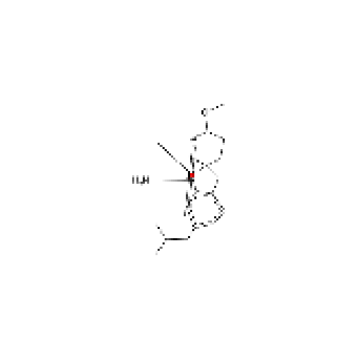 COC1CCC2(CC1)Cc1ccc(CC(C)C)cc1C21N=C(N)N(C)C1=O